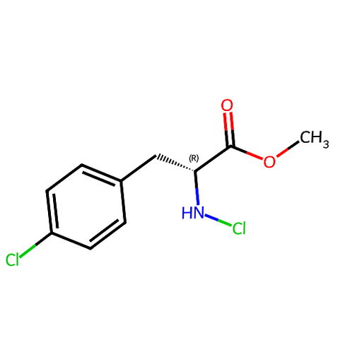 COC(=O)[C@@H](Cc1ccc(Cl)cc1)NCl